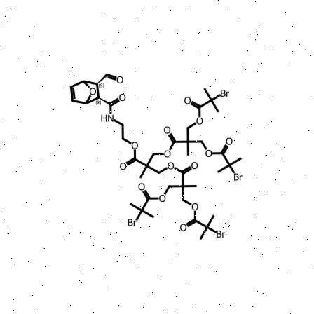 CC(C)(Br)C(=O)OCC(C)(COC(=O)C(C)(C)Br)C(=O)OCC(C)(COC(=O)C(C)(COC(=O)C(C)(C)Br)COC(=O)C(C)(C)Br)C(=O)OCCNC(=O)[C@H]1C2C=CC(O2)[C@H]1C=O